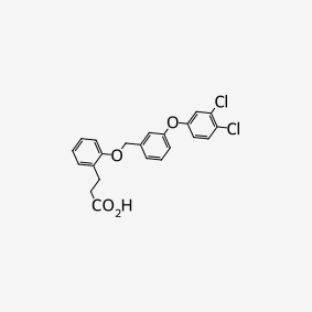 O=C(O)CCc1ccccc1OCc1cccc(Oc2ccc(Cl)c(Cl)c2)c1